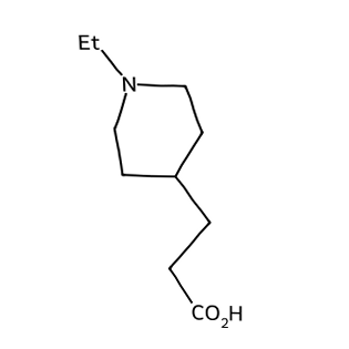 CCN1CCC(CCC(=O)O)CC1